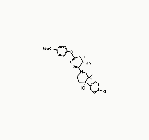 COc1ccc(OC(=O)N[C@@H](C(=O)N2CC[C@](O)(c3ccc(Cl)cc3)C(C)(C)C2)C(C)C)cc1